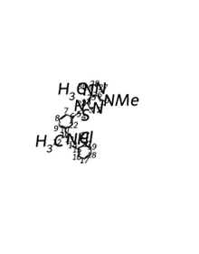 CNc1nc2sc(-c3cccc(C(C)NCc4ccccc4Cl)c3)nc2c2c1ncn2C